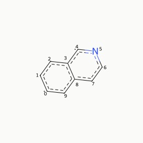 [c]1ccc2[c]nccc2c1